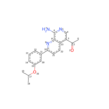 CC(=O)c1cnc(N)c2nc(-c3cccc(OC(C)C)c3)ccc12